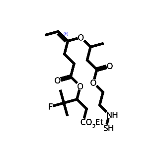 C/C=C(\CCC(=O)OC(CC(=O)OCC)C(C)(C)F)OC(C)CC(=O)OCCNS